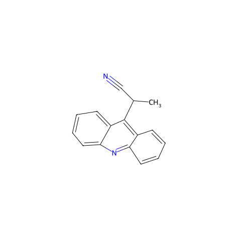 CC(C#N)c1c2ccccc2nc2ccccc12